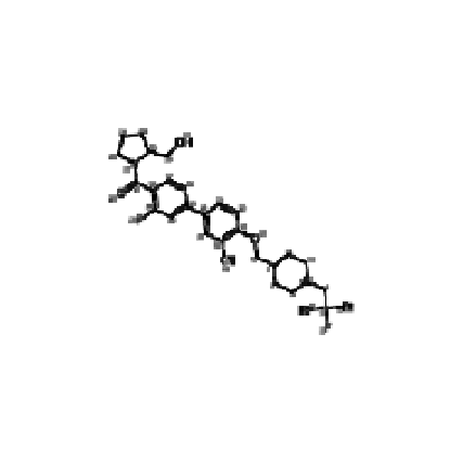 CCC(F)(CC)CN1CCC(COc2ccc(-c3ccc(C(=O)N4CCCC4CO)c(F)c3)cc2C#N)CC1